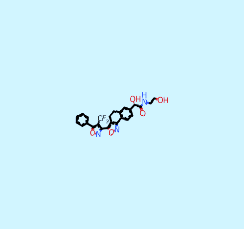 O=C(NCCO)[C@@H](O)c1ccc2c(c1)CCc1c-2noc1-c1noc(-c2ccccc2)c1C(F)(F)F